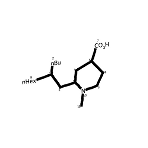 CCCCCCC(CCCC)CC1CC(C(=O)O)CCN1C